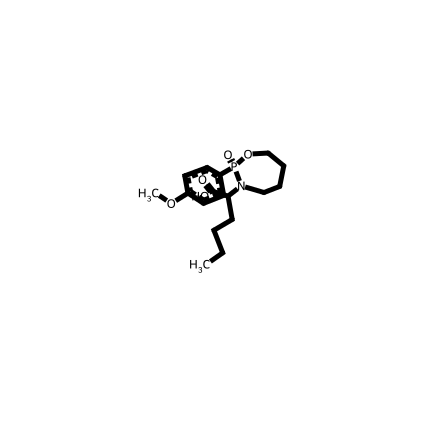 CCCCC(C(=O)O)N1CCCCOP1(=O)c1ccc(OC)cc1